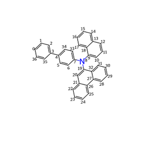 c1ccc(-c2ccc(N(c3cccc4ccccc34)c3cc4ccccc4c4ccccc34)cc2)cc1